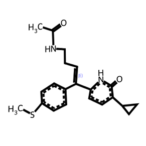 CSc1ccc(/C(=C\CCNC(C)=O)c2ccc(C3CC3)c(=O)[nH]2)cc1